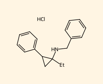 CCC1(NCc2ccccc2)CC1c1ccccc1.Cl